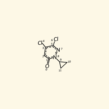 O=c1cc(Cl)c(Cl)nn1C1CC1